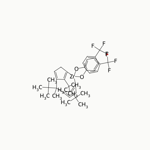 CC(C)(C)C1=[C]2CC=C1C(C)(C(C)(C)C)C1=CC[C](=C1C(C)(C)C)[Zr]2([O]c1ccc(C(F)(F)F)cc1)[O]c1ccc(C(F)(F)F)cc1